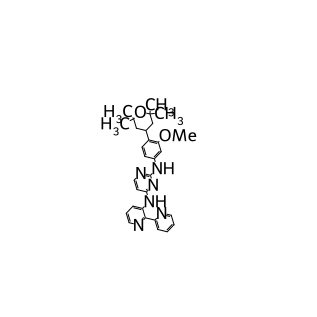 COc1cc(Nc2nccc(Nc3cccnc3-c3ccccn3)n2)ccc1C1CC(C)(C)OC(C)(C)C1